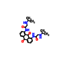 CC(C)NCC(=O)Nc1cccc2c1C(=O)c1c(NC(=O)CNC(C)C)cccc1C2=O